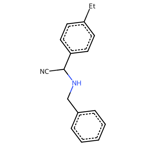 CCc1ccc(C(C#N)NCc2ccccc2)cc1